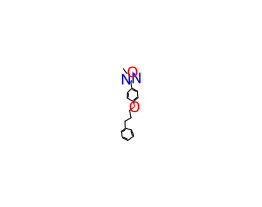 Cc1nc(-c2ccc(OCCCc3ccccc3)cc2)no1